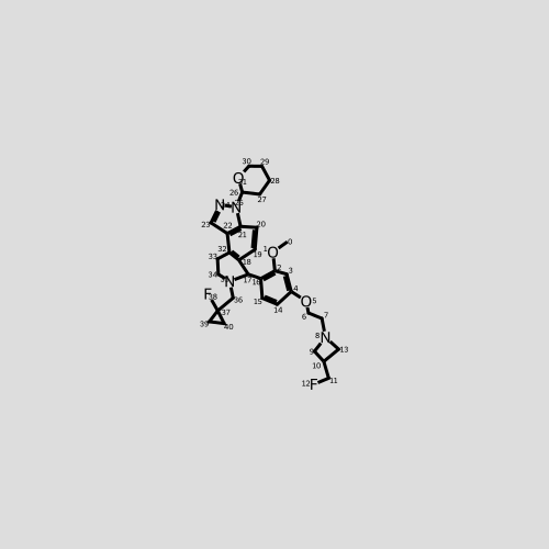 COc1cc(OCCN2CC(CF)C2)ccc1C1c2ccc3c(cnn3C3CCCCO3)c2CCN1CC1(F)CC1